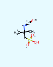 CC(C)(CS(=O)(=O)O)N=C=O